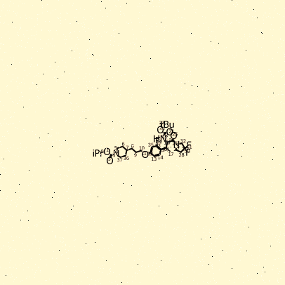 CC(C)OC(=O)N1CCC(CCCOc2ccc([C@H](C)[C@H](NC(=O)OC(C)(C)C)C(=O)N3CCC(F)(F)C3)c(F)c2)CC1